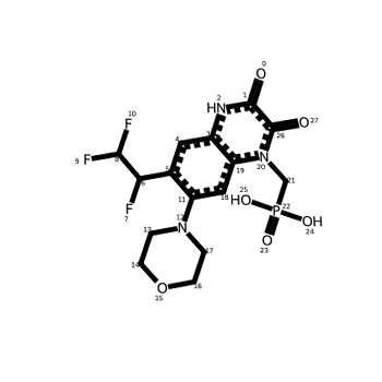 O=c1[nH]c2cc(C(F)C(F)F)c(N3CCOCC3)cc2n(CP(=O)(O)O)c1=O